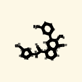 Cn1c(-c2cccc(C(F)(F)F)c2)nc2c(C(=O)Nc3nnc(C(C)(C)C)s3)cccc2c1=O